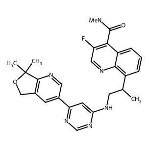 CNC(=O)c1c(F)cnc2c(C(C)CNc3cc(-c4cnc5c(c4)COC5(C)C)ncn3)cccc12